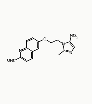 Cc1ncc([N+](=O)[O-])n1CCOc1ccc2nc(C=O)ccc2c1